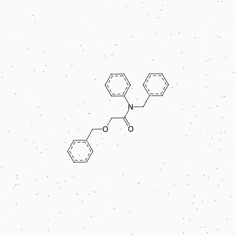 O=C(COCc1ccccc1)N(Cc1ccccc1)c1ccccc1